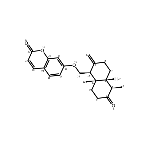 C=C1CC[C@@H]2[C@@H](C)C(=O)CC[C@]2(C)[C@H]1COc1ccc2ccc(=O)oc2c1